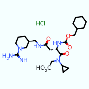 Cl.N=C(N)N1CCC[C@@H](CNC(=O)C[C@H](NC(=O)OCC2CCCCC2)C(=O)N(CC(=O)O)C2CC2)C1